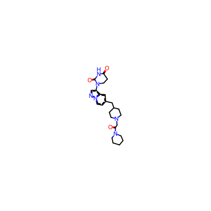 O=C1CCN(c2cnn3ccc(CC4CCN(CC(=O)N5CCCCC5)CC4)cc23)C(=O)N1